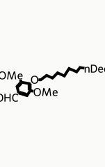 CCCCCCCCCCCCCCCCCCOc1c(OC)cc(C=O)cc1OC